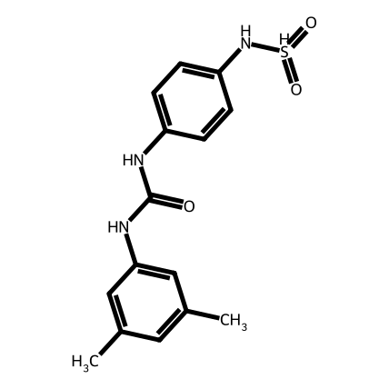 Cc1cc(C)cc(NC(=O)Nc2ccc(N[SH](=O)=O)cc2)c1